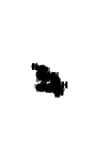 CC(=O)c1ccc(-n2cnc3cc(Nc4ccc(C)nn4)c(O[C@H]4CCN(C(=O)OC(C)(C)C)C4)cc32)nc1-n1nc(C#N)cc1C